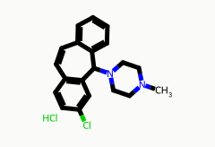 CN1CCN(C2c3ccccc3C=Cc3ccc(Cl)cc32)CC1.Cl